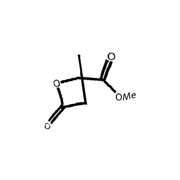 COC(=O)C1(C)CC(=O)O1